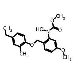 CCc1ccc(OCc2ccc(OC)cc2N(O)C(=O)OC)c(C)c1